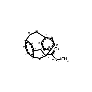 CNC(=O)CCc1cc2ccc1CCc1ccc(cc1)CC2